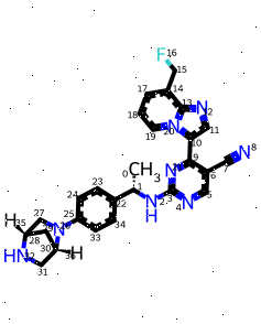 C[C@H](Nc1ncc(C#N)c(-c2cnc3c(CF)cccn23)n1)c1ccc(N2C[C@@H]3C[C@H]2CN3)cc1